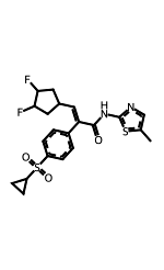 Cc1cnc(NC(=O)/C(=C/C2CC(F)C(F)C2)c2ccc(S(=O)(=O)C3CC3)cc2)s1